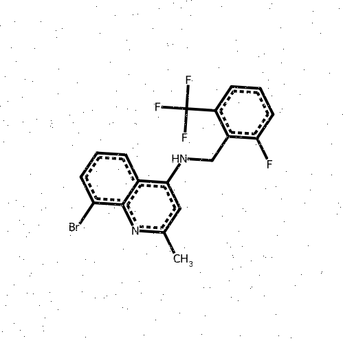 Cc1cc(NCc2c(F)cccc2C(F)(F)F)c2cccc(Br)c2n1